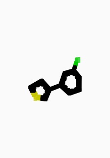 Clc1cccc(-c2[c]scc2)c1